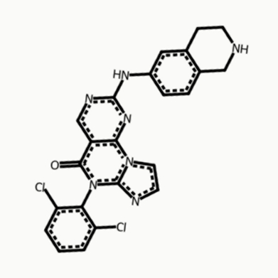 O=c1c2cnc(Nc3ccc4c(c3)CCNC4)nc2n2ccnc2n1-c1c(Cl)cccc1Cl